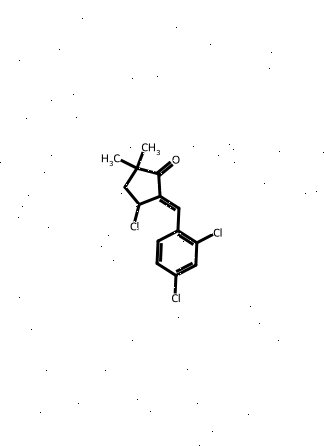 CC1(C)CC(Cl)C(=Cc2ccc(Cl)cc2Cl)C1=O